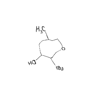 CC1COC(C(C)(C)C)C(O)C1